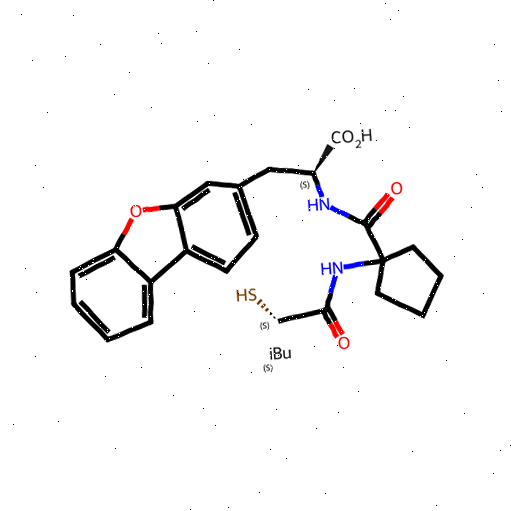 CC[C@H](C)[C@H](S)C(=O)NC1(C(=O)N[C@@H](Cc2ccc3c(c2)oc2ccccc23)C(=O)O)CCCC1